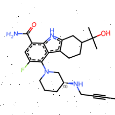 CC#CCN[C@H]1CCCN(c2c(F)cc(C(N)=O)c3[nH]c4c(c23)CCC(C(C)(C)O)C4)C1